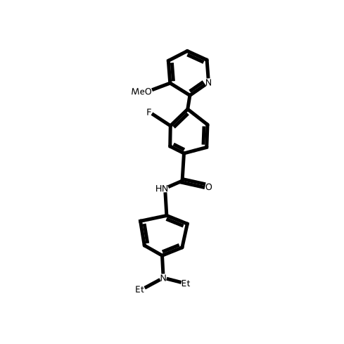 CCN(CC)c1ccc(NC(=O)c2ccc(-c3ncccc3OC)c(F)c2)cc1